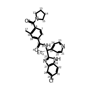 CC[C@](NC(=O)c1ccc(C(=O)N2CCCC2)c(C)c1)(c1ccncc1)c1nc2cc(Cl)ccc2[nH]1